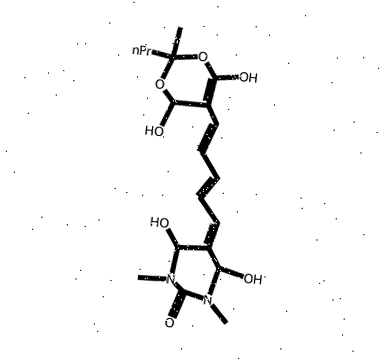 CCCC1(C)OC(O)=C(C=CC=CC=C2C(O)N(C)C(=O)N(C)C2O)C(O)O1